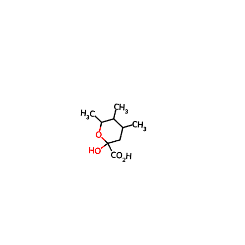 CC1CC(O)(C(=O)O)OC(C)C1C